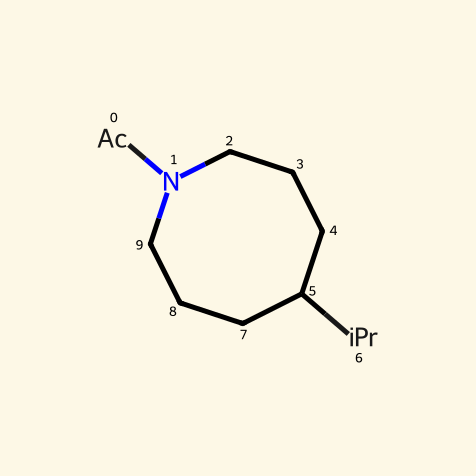 CC(=O)N1CCCC(C(C)C)CCC1